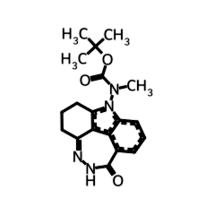 CN(C(=O)OC(C)(C)C)n1c2c3c4c(cccc41)C(=O)NN=C3CCC2